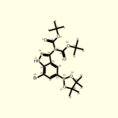 CC(C)(C)OC(=O)N(C(=O)OC(C)(C)C)c1n[nH]c2c(Br)cc(B3OC(C)(C)C(C)(C)O3)cc12